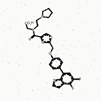 O=C(O)CN(CCN1CCCC1)C(=O)c1csc(COc2ccc(-c3cc(F)c(F)c4ccsc34)cc2)n1